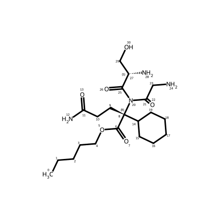 CCCCCOC(=O)[C@@](CCC(N)=O)(C1CCCCC1)N(C(=O)CN)C(=O)[C@@H](N)CO